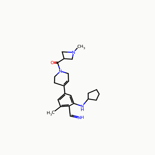 Cc1cc(C2=CCN(C(=O)C3CN(C)C3)CC2)cc(NC2CCCC2)c1C=N